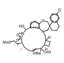 COCC[C@@H]1[C@@H](C)C/C=C/[C@@](C=O)(OC)[C@@H]2CC[C@H]2CN2C[C@@]3(CCCc4cc(Cl)ccc43)COc3ccc(cc32)C(O)NS1(=O)=O